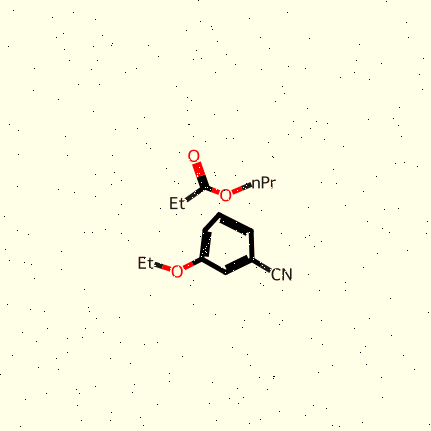 CCCOC(=O)CC.CCOc1cccc(C#N)c1